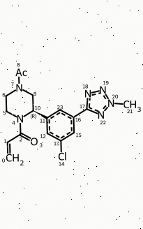 C=CC(=O)N1CCN(C(C)=O)C[C@H]1c1cc(Cl)cc(-c2nnn(C)n2)c1